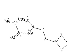 CCOC(=O)C(CCC1CCC1)NC(=O)OC(C)(C)C